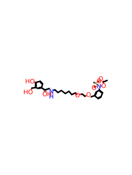 CC(=O)ON(c1cccc(COCCOCCCCCCCNC[C@@H](O)c2ccc(O)c(CO)c2)c1)S(C)(=O)=O